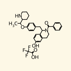 CC(Oc1ccc(CC2c3ccc(O)cc3CCN2C(=O)c2ccccc2)cc1)C1CCCCN1.O=C(O)C(F)(F)F